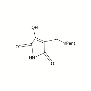 CCCCCCC1=C(O)C(=O)NC1=O